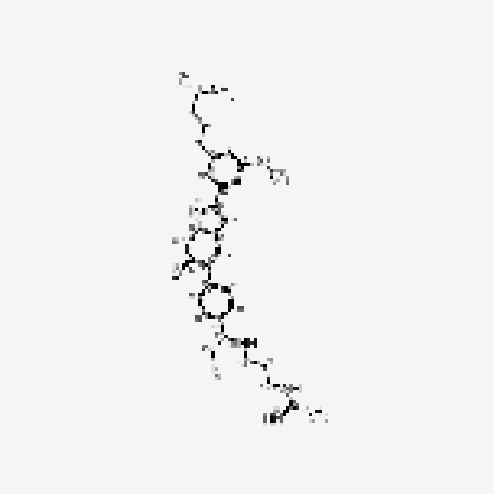 C[C@H](N)CCCc1cc(SC(F)(F)F)cc(-c2cc3cn(-c4ccc([C@@H](CF)NCCCNC(=N)N)cc4)c(=O)nc3[nH]2)c1